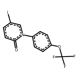 O=c1ccc(I)cn1-c1ccc(OC(F)(F)F)cc1